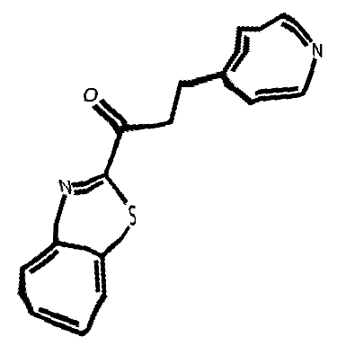 O=C(CCc1ccncc1)c1nc2ccccc2s1